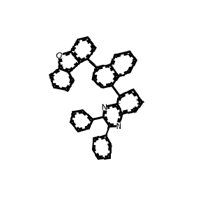 c1ccc(-c2nc3cccc(-c4ccc(-c5cccc6oc7ccccc7c56)c5ccccc45)c3nc2-c2ccccc2)cc1